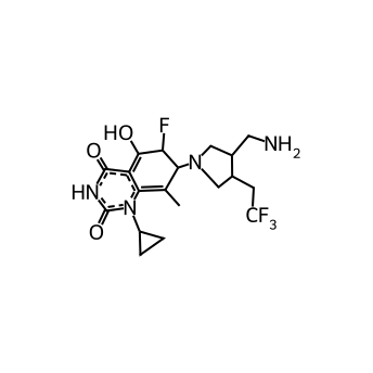 CC1=c2c(c(=O)[nH]c(=O)n2C2CC2)=C(O)C(F)C1N1CC(CN)C(CC(F)(F)F)C1